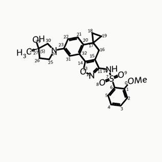 COc1ccccc1S(=O)(=O)Nc1noc2c1CC1(CC1)c1ccc(N3CC[C@](C)(O)C3)cc1-2